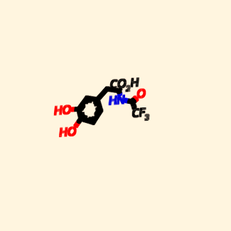 O=C(O)[C@H](Cc1ccc(O)c(O)c1)NC(=O)C(F)(F)F